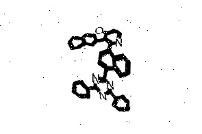 c1ccc(-c2nc(-c3ccccc3)nc(-c3ccc(-c4nccc5oc6cc7ccccc7cc6c45)c4ccccc34)n2)cc1